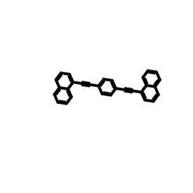 C(#Cc1cccc2ccccc12)c1ccc(C#Cc2cccc3ccccc23)cc1